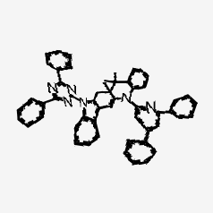 CC12Cc3c(c4ccccc4n3-c3nc(-c4ccccc4)nc(-c4ccccc4)n3)C=C1N(c1cc(-c3ccccc3)cc(-c3ccccc3)n1)c1ccccc1C2(C)C